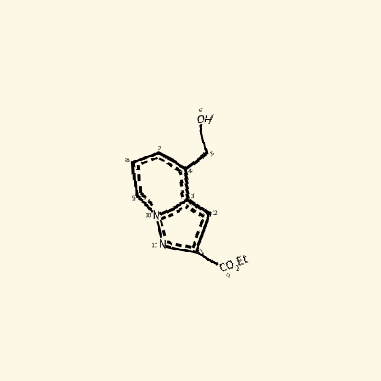 CCOC(=O)c1cc2c(CO)cccn2n1